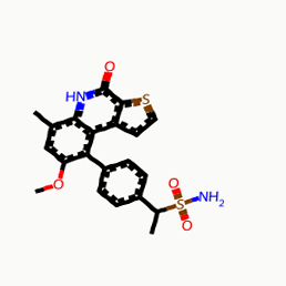 COc1cc(C)c2[nH]c(=O)c3sccc3c2c1-c1ccc(C(C)S(N)(=O)=O)cc1